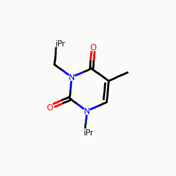 Cc1cn(C(C)C)c(=O)n(CC(C)C)c1=O